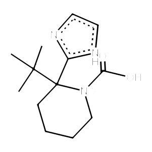 CC(C)(C)C1(c2ncc[nH]2)CCCCN1C(=O)O